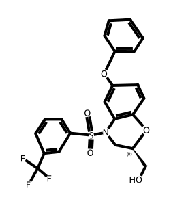 O=S(=O)(c1cccc(C(F)(F)F)c1)N1C[C@H](CO)Oc2ccc(Oc3ccccc3)cc21